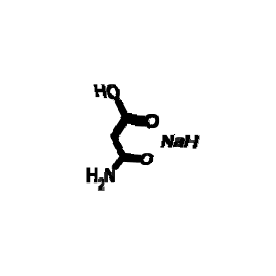 NC(=O)CC(=O)O.[NaH]